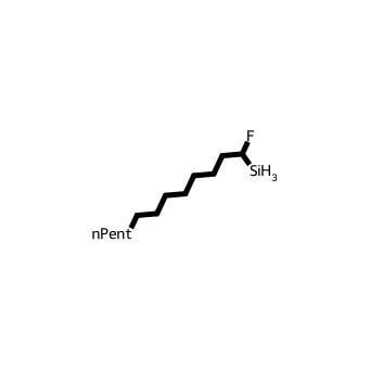 CCCCCCCCCCCCC(F)[SiH3]